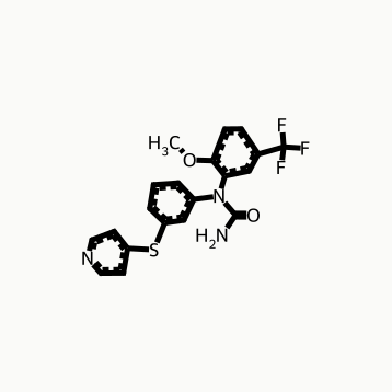 COc1ccc(C(F)(F)F)cc1N(C(N)=O)c1cccc(Sc2ccncc2)c1